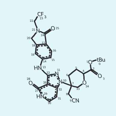 CC(C)(C)OC(=O)C1CCC(CC#N)(n2nc(Nc3ccc4c(c3)CN(CC(F)(F)F)C4=O)c3c(=O)[nH]ccc32)CO1